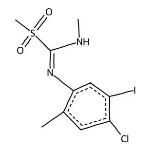 CN/C(=N\c1cc(I)c(Cl)cc1C)S(C)(=O)=O